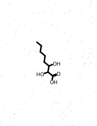 CCCCCC(O)C(O)C(=O)O